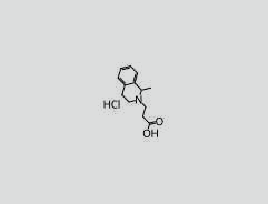 CC1c2ccccc2CCN1CCC(=O)O.Cl